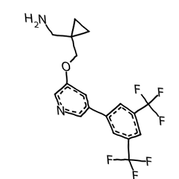 NCC1(COc2cncc(-c3cc(C(F)(F)F)cc(C(F)(F)F)c3)c2)CC1